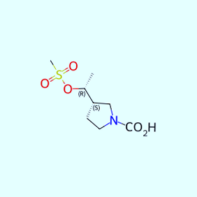 C[C@@H](OS(C)(=O)=O)[C@H]1CCN(C(=O)O)C1